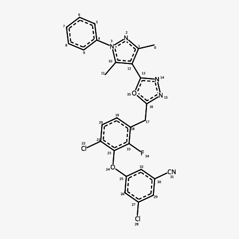 Cc1nn(-c2ccccc2)c(C)c1-c1nnc(Cc2ccc(Cl)c(Oc3cc(Cl)cc(C#N)c3)c2F)o1